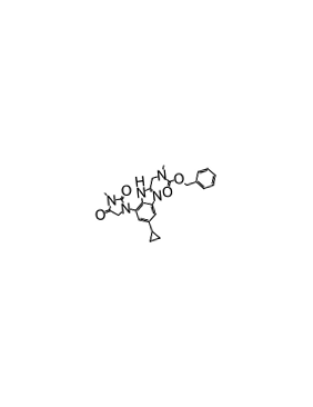 CN(Cc1nc2cc(C3CC3)cc(N3CC(=O)N(C)C3=O)c2[nH]1)C(=O)OCc1ccccc1